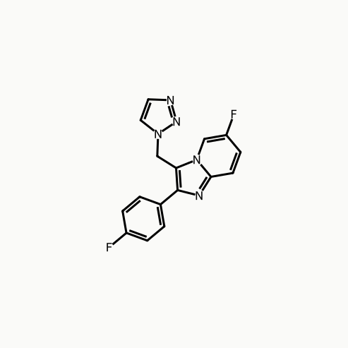 Fc1ccc(-c2nc3ccc(F)cn3c2Cn2ccnn2)cc1